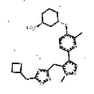 Cc1nc(-c2nnn(C)c2Cc2noc(CC3CCC3)n2)ccc1O[C@H]1CCC[C@H](C(=O)O)C1